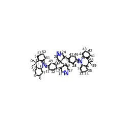 CC1(C)c2ccccc2N(c2ccc(-c3cnccc3-c3ccncc3-c3ccc(N4c5ccccc5C(C)(C)c5ccccc54)cc3)cc2)c2ccccc21